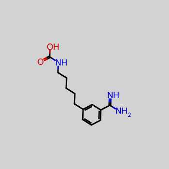 N=C(N)c1cccc(CCCCCNC(=O)O)c1